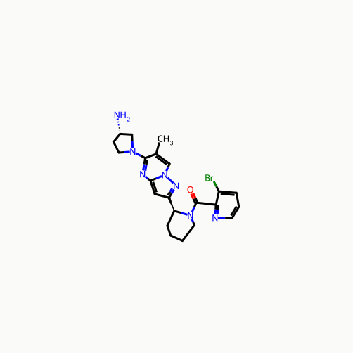 Cc1cn2nc([C@@H]3CCCCN3C(=O)c3ncccc3Br)cc2nc1N1CC[C@H](N)C1